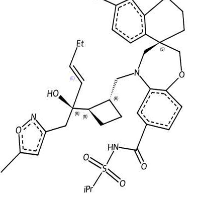 CC/C=C/[C@@](O)(Cc1cc(C)on1)[C@@H]1CC[C@H]1CN1C[C@@]2(CCCc3cc(Cl)ccc32)COc2ccc(C(=O)NS(=O)(=O)C(C)C)cc21